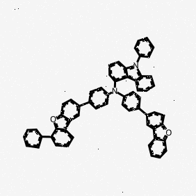 c1ccc(-c2cccc3c2oc2ccc(-c4ccc(N(c5ccc(-c6ccc7oc8ccccc8c7c6)cc5)c5cccc6c5c5ccccc5n6-c5ccccc5)cc4)cc23)cc1